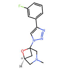 CN1C[C@@H]2CC(n3cc(-c4cccc(F)c4)nn3)(C1)O2